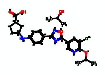 CC(C)O.CC(C)Oc1ncc(-c2nc(-c3ccc(N[C@H]4CC[C@@H](C(=O)O)C4)cc3)no2)cc1Cl